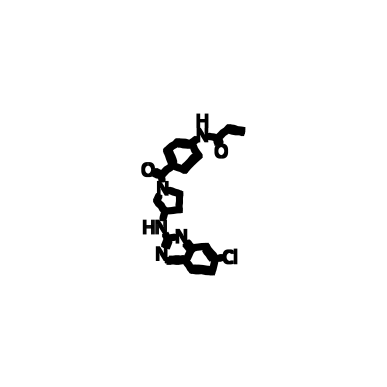 C=CC(=O)Nc1ccc(C(=O)N2CCC(Nc3ncc4ccc(Cl)cc4n3)C2)cc1